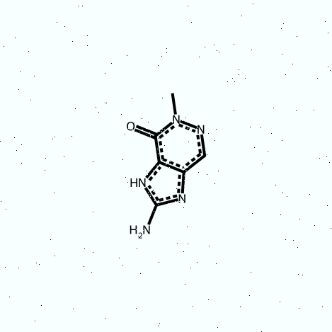 Cn1ncc2nc(N)[nH]c2c1=O